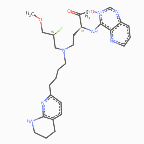 COC[C@@H](F)CN(CCCCc1ccc2c(n1)NCCC2)CC[C@H](Nc1c2ncccc2nc[n+]1O)C(C)=O